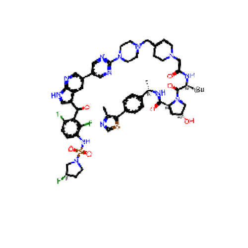 Cc1ncsc1-c1ccc([C@H](C)NC(=O)[C@@H]2C[C@@H](O)CN2C(=O)[C@@H](NC(=O)CN2CCC(CN3CCN(c4ncc(-c5cnc6[nH]cc(C(=O)c7c(F)ccc(NS(=O)(=O)N8CC[C@@H](F)C8)c7F)c6c5)cn4)CC3)CC2)C(C)(C)C)cc1